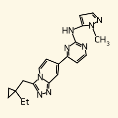 CCC1(Cc2nnc3cc(-c4ccnc(Nc5ccnn5C)n4)ccn23)CC1